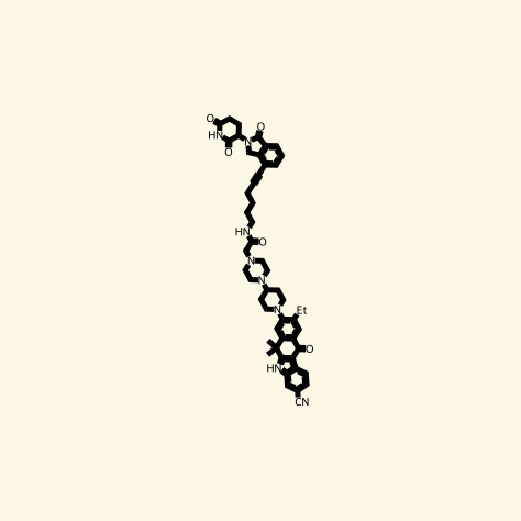 CCc1cc2c(cc1N1CCC(N3CCN(CC(=O)NCCCCC#Cc4cccc5c4CN(C4CCC(=O)NC4=O)C5=O)CC3)CC1)C(C)(C)c1[nH]c3cc(C#N)ccc3c1C2=O